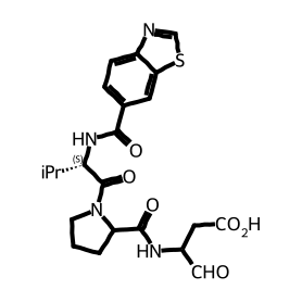 CC(C)[C@H](NC(=O)c1ccc2ncsc2c1)C(=O)N1CCCC1C(=O)NC(C=O)CC(=O)O